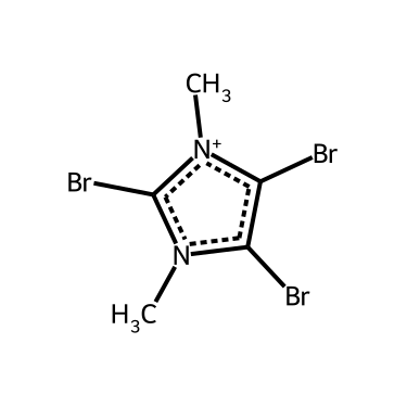 Cn1c(Br)c(Br)[n+](C)c1Br